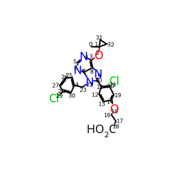 CC1(Oc2ncnc3c2nc(-c2ccc(OCCC(=O)O)cc2Cl)n3Cc2cccc(Cl)c2)CC1